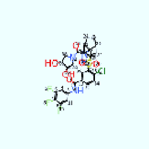 O=C(Nc1cc(F)c(F)c(F)c1)c1ccc(Cl)c(S(=O)(=O)[C@H]2CC3CCC(C2)[C@@H]3NC(=O)N2CC(O)C(O)C2)c1